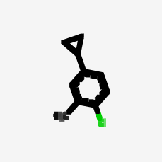 [CH2]c1cc(C2CC2)ccc1Cl